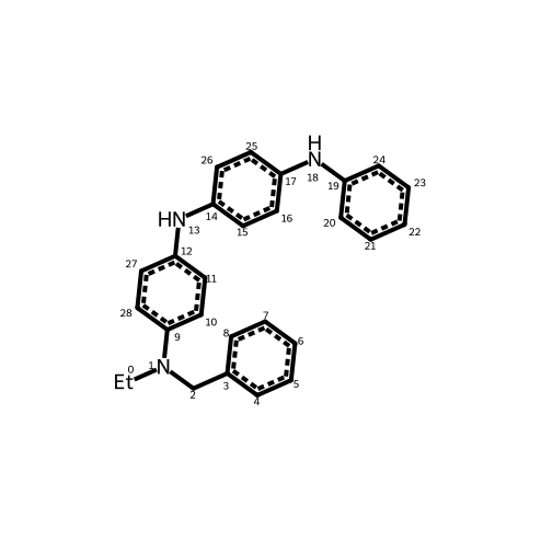 CCN(Cc1ccccc1)c1ccc(Nc2ccc(Nc3ccccc3)cc2)cc1